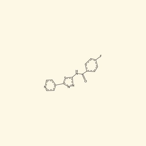 O=C(Nc1nnc(-c2ccncc2)s1)c1ccc(F)cc1